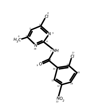 Cc1cc(Cl)nc(NC(=O)c2cc([N+](=O)[O-])ccc2Cl)n1